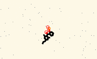 CCCc1cc(C)c(C(=O)c2ccccc2OP=O)c(C)c1